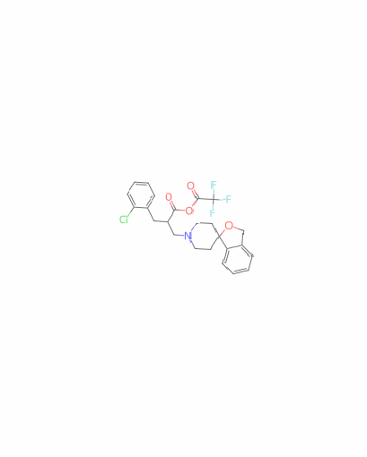 O=C(OC(=O)C(F)(F)F)C(Cc1ccccc1Cl)CN1CCC2(CC1)OCc1ccccc12